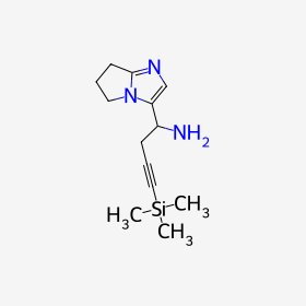 C[Si](C)(C)C#CCC(N)c1cnc2n1CCC2